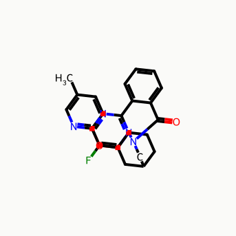 Cc1ccc(OC2CC3CCC2N(C(=O)c2ccccc2-c2ncc(F)cn2)C3)nc1